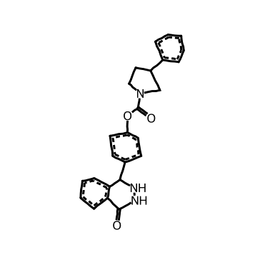 O=C1NNC(c2ccc(OC(=O)N3CCC(c4ccccc4)C3)cc2)c2ccccc21